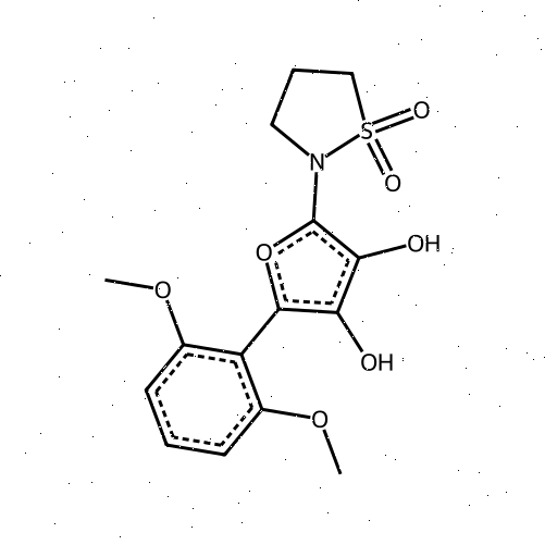 COc1cccc(OC)c1-c1oc(N2CCCS2(=O)=O)c(O)c1O